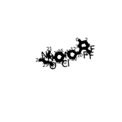 Cc1ccc(C(F)(F)F)c(CC2CCN(c3ccc(-n4c(C)nc(C)cc4=O)cc3Cl)CC2)c1